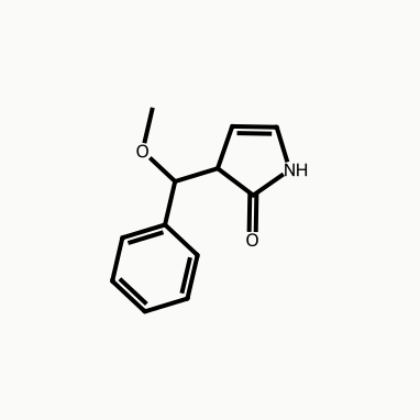 COC(c1ccccc1)C1C=CNC1=O